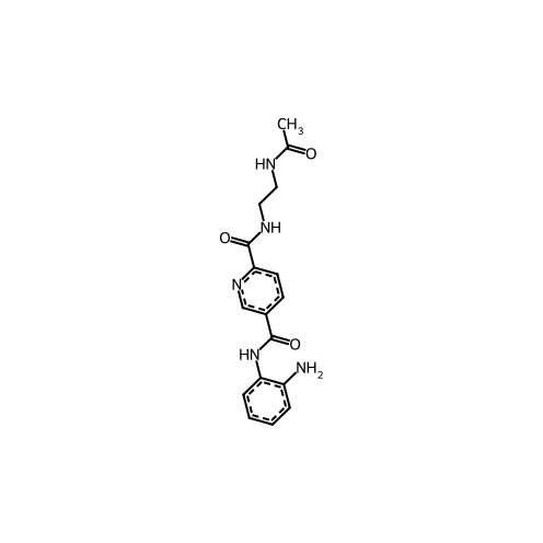 CC(=O)NCCNC(=O)c1ccc(C(=O)Nc2ccccc2N)cn1